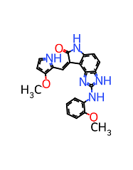 COc1ccccc1Nc1nc2c3c(ccc2[nH]1)NC(=O)C3=Cc1[nH]ccc1OC